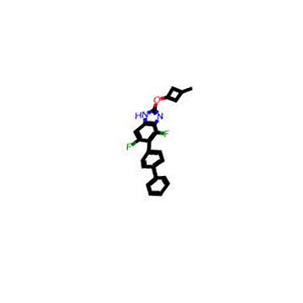 CC1CC(Oc2nc3c(F)c(-c4ccc(-c5ccccc5)cc4)c(F)cc3[nH]2)C1